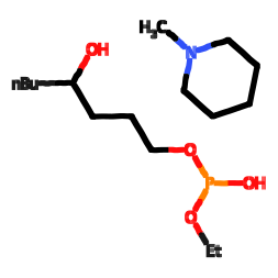 CCCCC(O)CCCOP(O)OCC.CN1CCCCC1